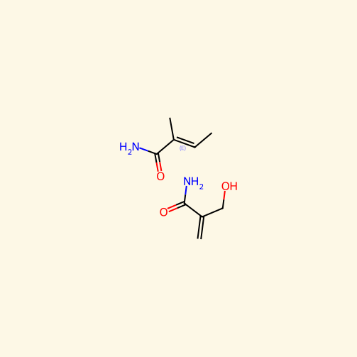 C/C=C(\C)C(N)=O.C=C(CO)C(N)=O